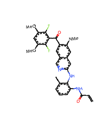 C=CC(=O)Nc1cccc(C)c1Nc1cc2cc(NC)c(C(=O)c3c(F)c(OC)cc(OC)c3F)cc2cn1